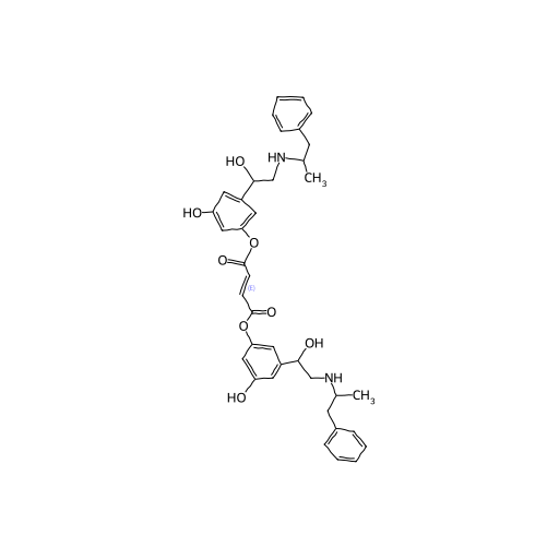 CC(Cc1ccccc1)NCC(O)c1cc(O)cc(OC(=O)/C=C/C(=O)Oc2cc(O)cc(C(O)CNC(C)Cc3ccccc3)c2)c1